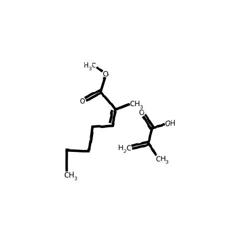 C=C(C)C(=O)O.CCCCC=C(C)C(=O)OC